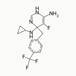 NC1=C(F)C(Cc2ccc(C(F)(F)F)cc2)(NC2CC2)N=CN1